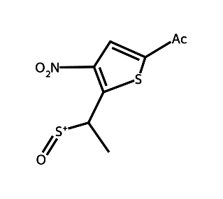 CC(=O)c1cc([N+](=O)[O-])c(C(C)[S+]=O)s1